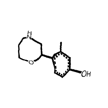 Cc1cc(O)ccc1C1CNCCO1